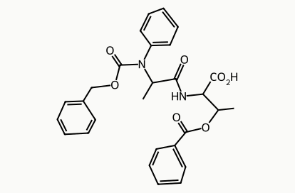 CC(OC(=O)c1ccccc1)C(NC(=O)C(C)N(C(=O)OCc1ccccc1)c1ccccc1)C(=O)O